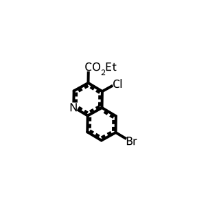 CCOC(=O)c1cnc2ccc(Br)cc2c1Cl